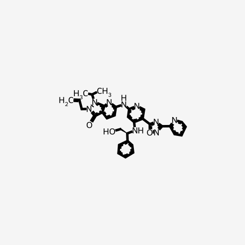 C=CCn1c(=O)c2ccc(Nc3cc(N[C@H](CO)c4ccccc4)c(-c4nc(-c5ccccn5)no4)cn3)nc2n1C(C)C